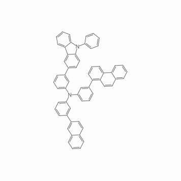 c1ccc(-n2c3ccccc3c3cc(-c4cccc(N(c5cccc(-c6ccc7ccccc7c6)c5)c5cccc(-c6cccc7c6ccc6ccccc67)c5)c4)ccc32)cc1